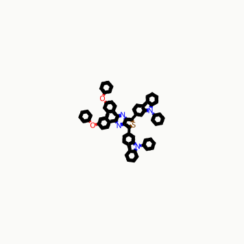 c1ccc(Oc2ccc3c(c2)c2cc(Oc4ccccc4)ccc2c2nc4c(-c5ccc6c7ccccc7n(-c7ccccc7)c6c5)sc(-c5ccc6c7ccccc7n(-c7ccccc7)c6c5)c4nc32)cc1